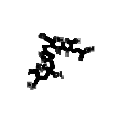 CC(CF)CC(C)(C)Cn1cc(C[C@H](NC(=O)N[C@@H](CCC(=O)O)C(=O)O)C(=O)O)nn1